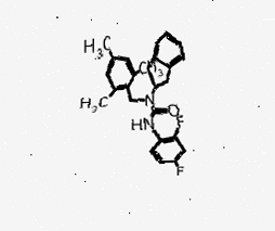 Cc1cc(C)c(CN(C(=O)Nc2ccc(F)cc2F)C2Cc3ccccc3C2)c(C)c1